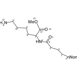 CCCCCCCCCCCCC(=O)NC(CCCCN)C(=O)OC